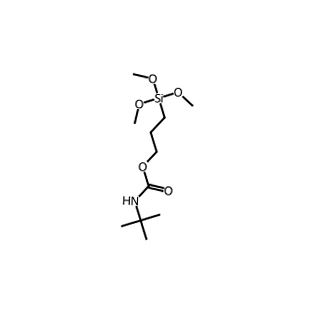 CO[Si](CCCOC(=O)NC(C)(C)C)(OC)OC